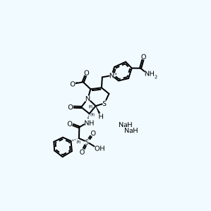 NC(=O)c1cc[n+](CC2=C(C(=O)[O-])N3C(=O)[C@@H](NC(=O)[C@@H](c4ccccc4)S(=O)(=O)O)[C@H]3SC2)cc1.[NaH].[NaH]